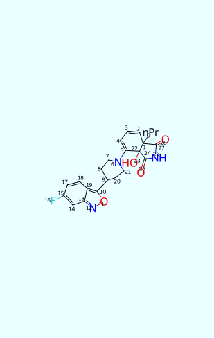 CCCC12C=CC=C(N3CCC(c4onc5cc(F)ccc45)CC3)C1(O)C(=O)NC2=O